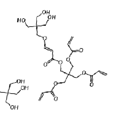 C=CC(=O)OCC(COC(=O)C=C)(COC(=O)C=C)COC(=O)C=COCC(CO)(CO)CO.OCC(CO)(CO)CO